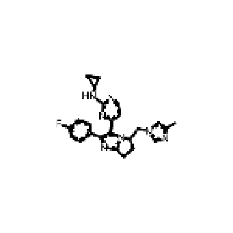 Cc1cn(CC2CCc3nc(-c4ccc(F)cc4)c(-c4ccnc(NC5CC5)n4)n32)cn1